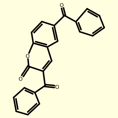 O=C(c1ccccc1)c1ccc2oc(=O)c(C(=O)c3ccccc3)cc2c1